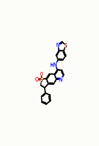 O=S1(=O)CC(c2ccccc2)c2cc3nccc(Nc4ccc5scnc5c4)c3cc21